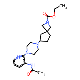 CCOC(=O)N1CC2(CCC(N3CCN(c4ncccc4NC(C)=O)CC3)C2)C1